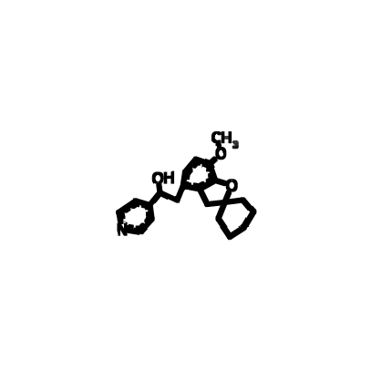 COc1ccc(CC(O)c2ccncc2)c2c1OC1(CCCCC1)C2